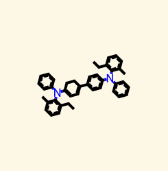 CCc1cccc(C)c1N(C1=CC=C(c2ccc(N(c3ccccc3)c3c(C)cccc3CC)cc2)CC1)c1ccccc1